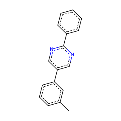 Cc1cccc(-c2cnc(-c3ccccc3)nc2)c1